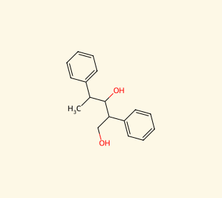 CC(c1ccccc1)C(O)C(CO)c1ccccc1